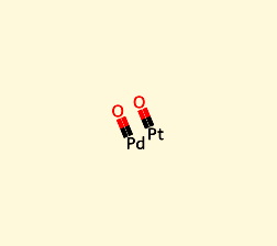 [O]=[Pd].[O]=[Pt]